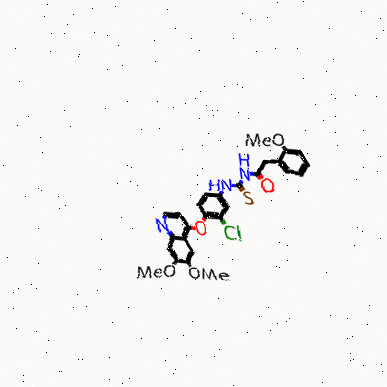 COc1ccccc1CC(=O)NC(=S)Nc1ccc(Oc2ccnc3cc(OC)c(OC)cc23)c(Cl)c1